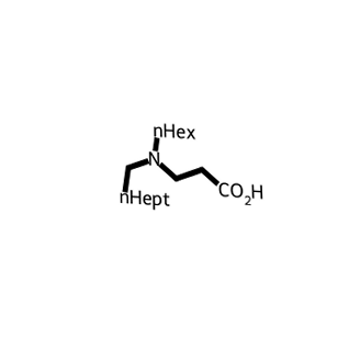 CCCCCCCCN(CCCCCC)CCC(=O)O